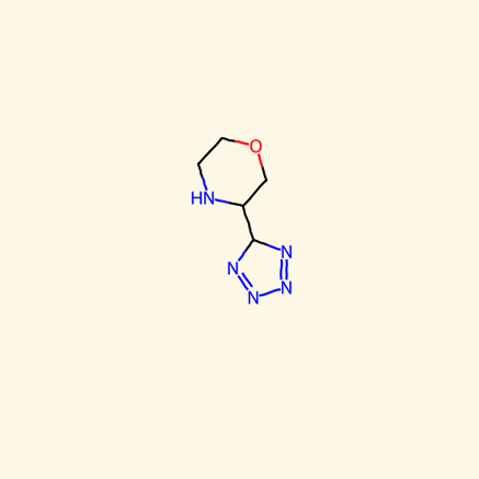 C1COCC(C2N=NN=N2)N1